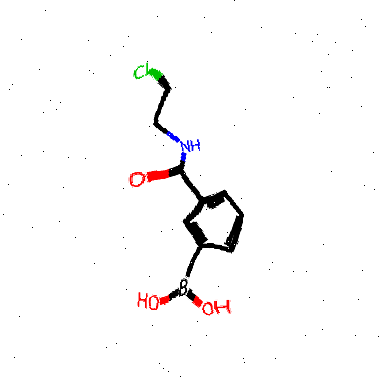 O=C(NCCCl)c1cccc(B(O)O)c1